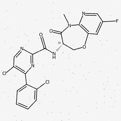 CN1C(=O)[C@@H](NC(=O)c2ncc(Cl)c(-c3ccccc3Cl)n2)COc2cc(F)cnc21